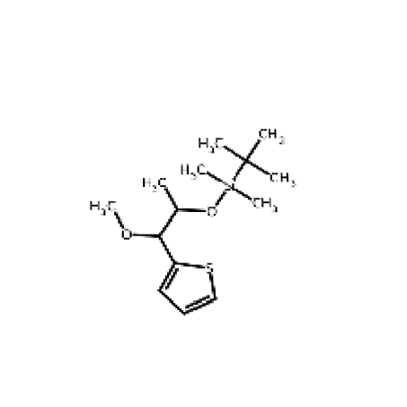 COC(c1cccs1)C(C)O[Si](C)(C)C(C)(C)C